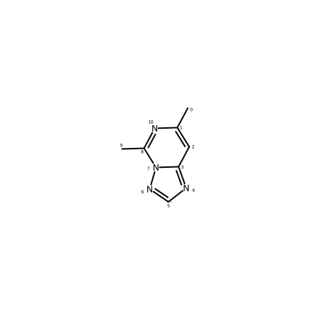 Cc1cc2n[c]nn2c(C)n1